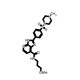 COCCCNC(=O)c1ccnc2[nH]c(-c3ccc(S(=O)(=O)N4CCN(C)CC4)cc3)nc12